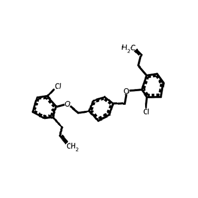 C=CCc1cccc(Cl)c1OCc1ccc(COc2c(Cl)cccc2CC=C)cc1